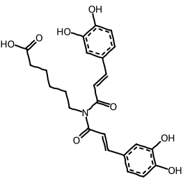 O=C(O)CCCCCN(C(=O)C=Cc1ccc(O)c(O)c1)C(=O)C=Cc1ccc(O)c(O)c1